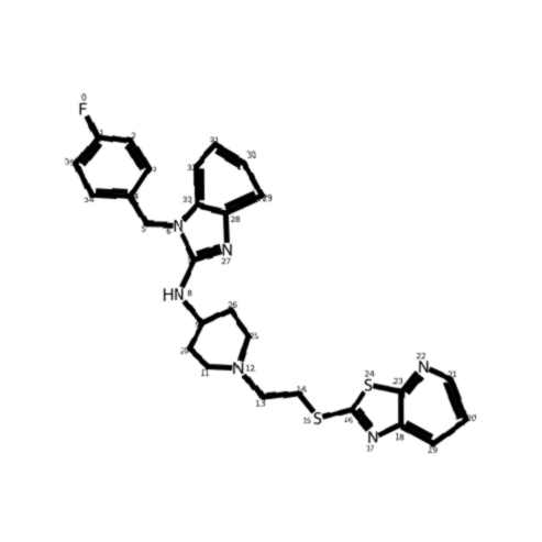 Fc1ccc(Cn2c(NC3CCN(CCSc4nc5cccnc5s4)CC3)nc3ccccc32)cc1